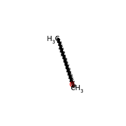 CCCCCCCCCCCCCCCCCCCCCCCCCCCCOCC